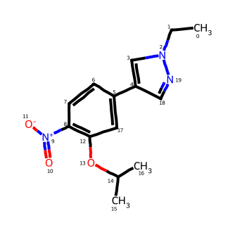 CCn1cc(-c2ccc([N+](=O)[O-])c(OC(C)C)c2)cn1